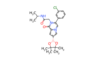 CC(C)NC(=O)Cn1c(-c2cccc(Cl)c2)cn2cc(B3OC(C)(C)C(C)(C)O3)cc2c1=O